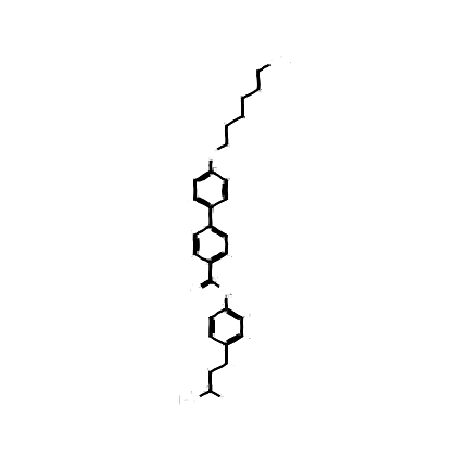 CCCCCCCCCCCCCCCCOc1ccc(-c2ccc(C(=O)Oc3ccc(CCC(CCCCCC)C(F)(F)F)cc3)cc2)cc1